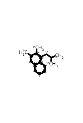 Cc1cc2ccccc2c(CC(C)C)c1C